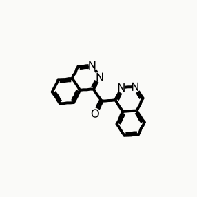 O=C(c1nncc2ccccc12)c1nncc2ccccc12